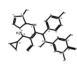 C=C/C(=C(/NC1CC=NN1C)C(c1ccc(C)cc1)N(C)C1=CN(C)C(=C)C(C)=C1)C(N)C1CC1